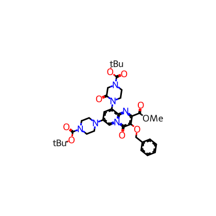 COC(=O)c1nc2c(N3CCN(C(=O)OC(C)(C)C)CC3=O)cc(N3CCN(C(=O)OC(C)(C)C)CC3)cn2c(=O)c1OCc1ccccc1